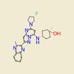 Cc1nc2ccccc2nc1-c1cc2nc(N3CC[C@H](F)C3)cc(N[C@H]3CC[C@](C)(O)CC3)n2n1